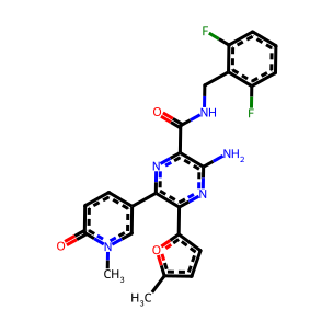 Cc1ccc(-c2nc(N)c(C(=O)NCc3c(F)cccc3F)nc2-c2ccc(=O)n(C)c2)o1